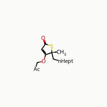 CCCCCCCC[C@@]1(C)SC(=O)C=C1OCC(C)=O